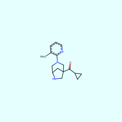 COc1cccnc1N1CC2CC(C(=O)C3CC3)(CN2)C1